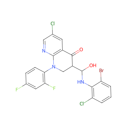 O=C1c2cc(Cl)cnc2N(c2ccc(F)cc2F)CC1C(O)Nc1c(Cl)cccc1Br